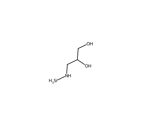 OCC(O)CN[SiH3]